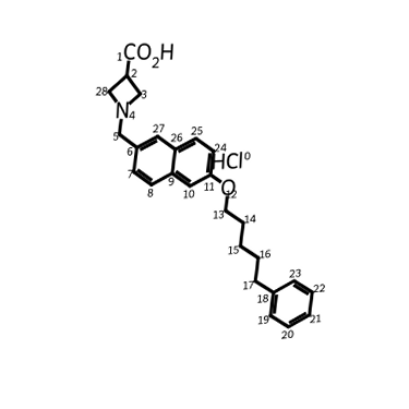 Cl.O=C(O)C1CN(Cc2ccc3cc(OCCCCCc4ccccc4)ccc3c2)C1